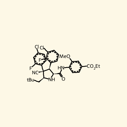 CCOC(=O)c1ccc(NC(=O)[C@H]2N[C@@H](CC(C)(C)C)[C@](C#N)(c3ccc(Cl)cc3F)[C@H]2c2cccc(Cl)c2F)c(OC)c1